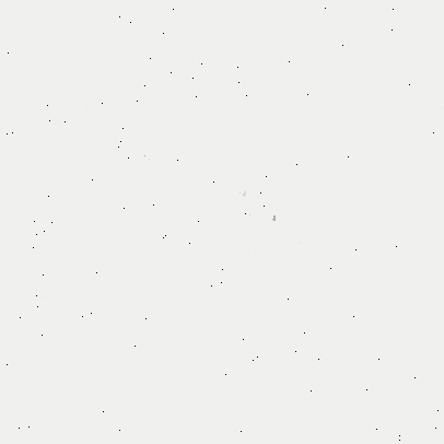 COC(=O)C(NC(=O)Nc1ccc(/C(C)=N/O)cc1)C(=O)OC